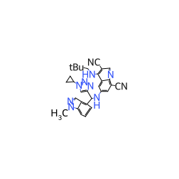 Cn1ncc2c(C(Nc3cc(C#N)c4ncc(C#N)c(NCC(C)(C)C)c4c3)c3cn(C4CC4)nn3)cccc21